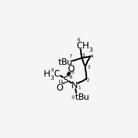 CC(C)(C)N(CC1CC1(C)C(C)(C)C)S(C)(=O)=O